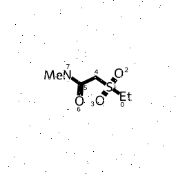 CCS(=O)(=O)CC(=O)NC